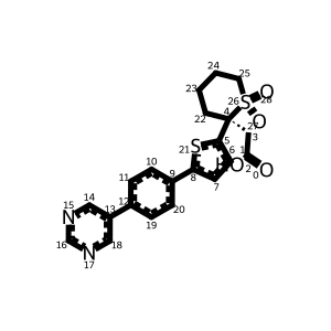 O=C(O)C[C@]1(c2ccc(-c3ccc(-c4cncnc4)cc3)s2)CCCCS1(=O)=O